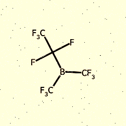 FC(F)(F)B(C(F)(F)F)C(F)(F)C(F)(F)F